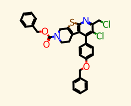 O=C(OCc1ccccc1)N1CCc2c(sc3nc(CCl)c(Cl)c(-c4ccc(OCc5ccccc5)cc4)c23)C1